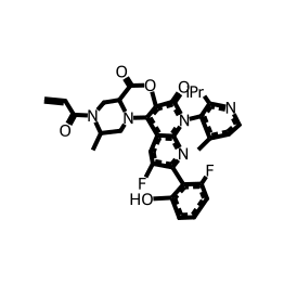 C=CC(=O)N1CC2C(=O)Oc3c(c4cc(F)c(-c5c(O)cccc5F)nc4n(-c4c(C)ccnc4C(C)C)c3=O)N2CC1C